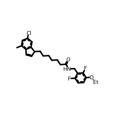 CCOc1ccc(F)c(CNC(=O)CCCCCCC2C=Cc3c(C)cc(Cl)cc32)c1F